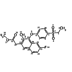 CCS(=O)(=O)c1ccc(Oc2c(C)c(CC(=O)OC)cc3ccc(F)cc23)cc1